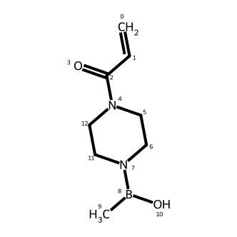 C=CC(=O)N1CCN(B(C)O)CC1